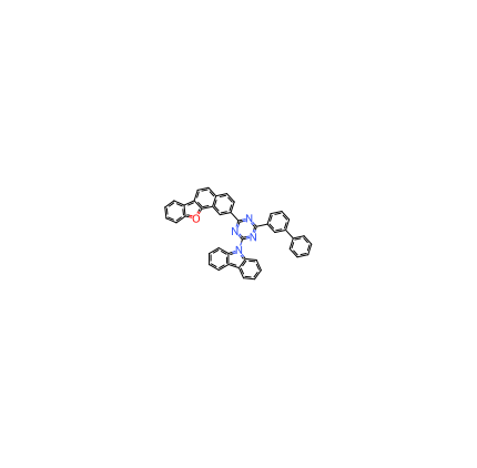 c1ccc(-c2cccc(-c3nc(-c4ccc5ccc6c7ccccc7oc6c5c4)nc(-n4c5ccccc5c5ccccc54)n3)c2)cc1